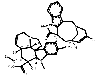 CCO[C@H]1C(O)(C(=O)OC)[C@@H]2N(C)c3cc(OC)c([C@@]4(C(=O)OC)C[C@@H]5C=C(CC)CN(Cc6c4[nH]c4ccccc64)C5)cc3C23CCN2CC=C[C@]1(CC)[C@H]23